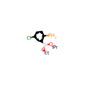 CCOB(OC(C)C)c1cc(Cl)ccc1P